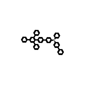 c1ccc(-c2ccc(N(c3ccccc3)c3ccc(-c4ccc(-c5c(-c6ccccc6)cc(-c6ccccc6)cc5-c5ccccc5)cc4)cc3)cc2)cc1